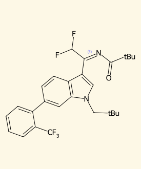 CC(C)(C)Cn1cc(/C(=N\C(=O)C(C)(C)C)C(F)F)c2ccc(-c3ccccc3C(F)(F)F)cc21